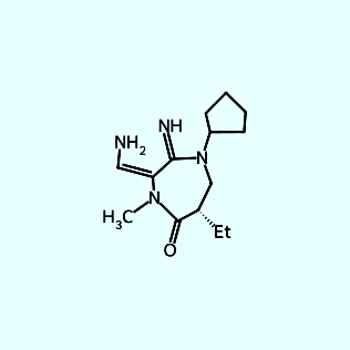 CC[C@H]1CN(C2CCCC2)C(=N)/C(=C\N)N(C)C1=O